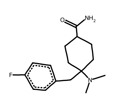 CN(C)C1(Cc2ccc(F)cc2)CCC(C(N)=O)CC1